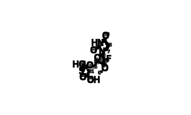 CO[C@H]1[C@@H](F)[C@H](n2ccc(=O)[nH]c2=O)O[C@@H]1COP(O)(=S)CC(=O)O